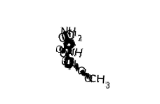 COCCOCCN1CCOC(CNc2ccc(S(N)(=O)=O)cc2[N+](=O)[O-])C1